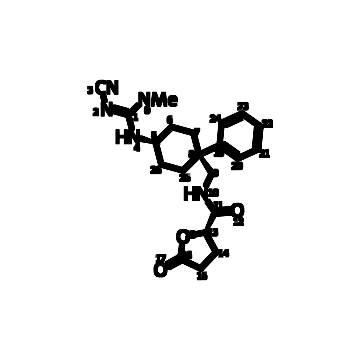 CN/C(=N\C#N)N[C@H]1CC[C@](CNC(=O)[C@H]2CCC(=O)O2)(c2ccccc2)CC1